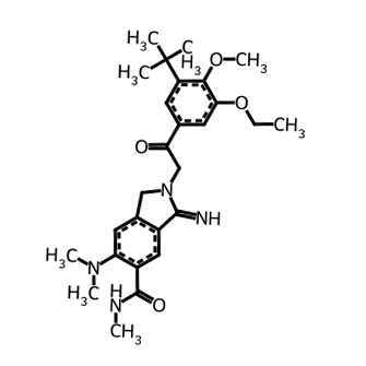 CCOc1cc(C(=O)CN2Cc3cc(N(C)C)c(C(=O)NC)cc3C2=N)cc(C(C)(C)C)c1OC